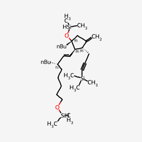 C=C1C[C@@](CCCC)(O[SiH](C)C)[C@H](C=C[C@@H](CCCC)CCCCCO[SiH](C)C)[C@H]1CC#C[Si](C)(C)C